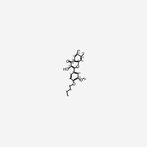 CCCCOc1ccc(-c2oc3cc(C)c(C)cc3c(=O)c2O)cc1OC